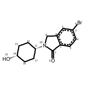 O=C1c2ccc(Br)cc2CN1[C@H]1CC[C@@H](O)CC1